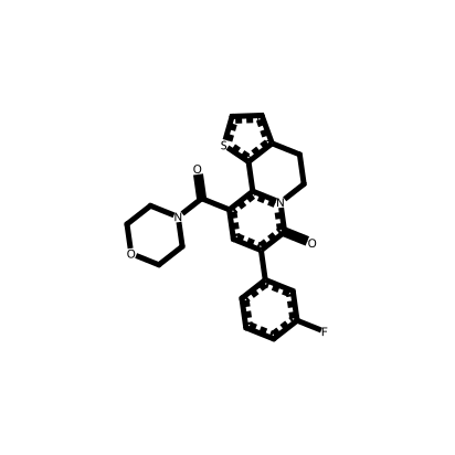 O=C(c1cc(-c2cccc(F)c2)c(=O)n2c1-c1sccc1CC2)N1CCOCC1